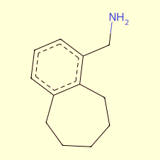 NCc1cccc2c1CCCCC2